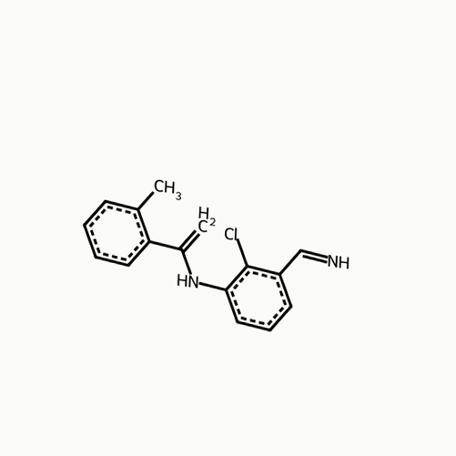 C=C(Nc1cccc(C=N)c1Cl)c1ccccc1C